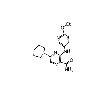 CCOc1ccc(Nc2nc(N3CCCCC3)cnc2C(N)=O)cn1